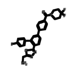 NCc1nnc(-c2ccc(-c3ccc(C(=O)N4CCC(F)(F)CC4)cc3)cc2-c2ccc(F)cc2)o1